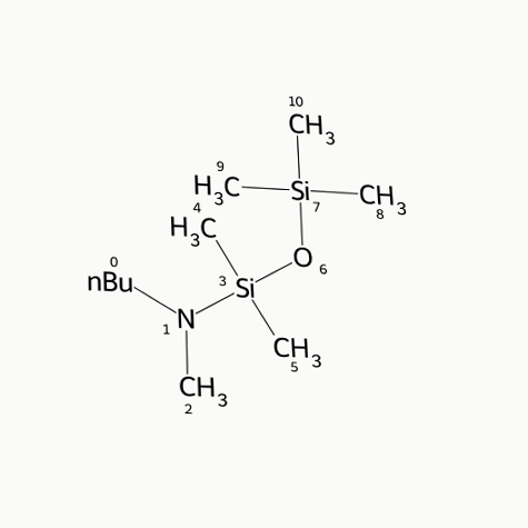 CCCCN(C)[Si](C)(C)O[Si](C)(C)C